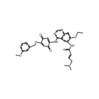 CCOc1cc2ncnc(NC3=CC(=O)C(OCc4cccc(OC)c4)=CC3=O)c2cc1NC(=O)C=CCN(C)C